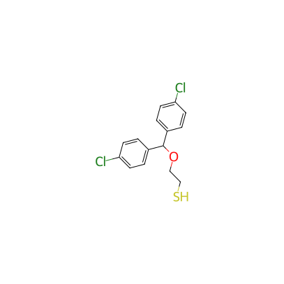 SCCOC(c1ccc(Cl)cc1)c1ccc(Cl)cc1